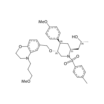 COCCCN1CCOc2ccc(CO[C@H]3CN(S(=O)(=O)c4ccc(C)cc4)[C@H](C[C@@H](C)O)C[C@@H]3c3ccc(OC)cc3)cc21